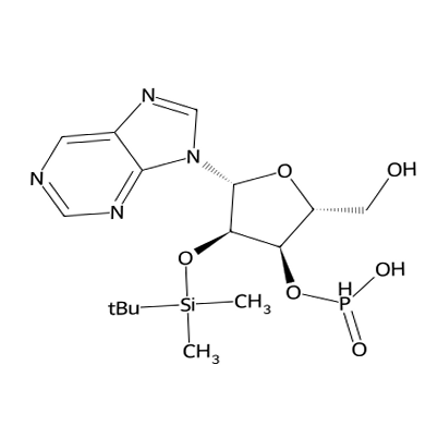 CC(C)(C)[Si](C)(C)O[C@@H]1[C@H](O[PH](=O)O)[C@@H](CO)O[C@H]1n1cnc2cncnc21